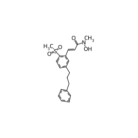 CN(O)C(=O)C=Cc1cc(CCCc2ccccc2)ccc1S(C)(=O)=O